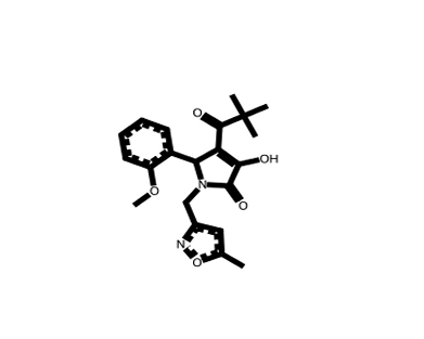 COc1ccccc1C1C(C(=O)C(C)(C)C)=C(O)C(=O)N1Cc1cc(C)on1